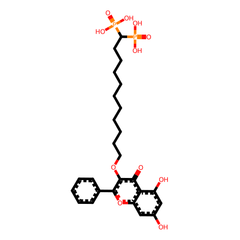 O=c1c(OCCCCCCCCCCC(P(=O)(O)O)P(=O)(O)O)c(-c2ccccc2)oc2cc(O)cc(O)c12